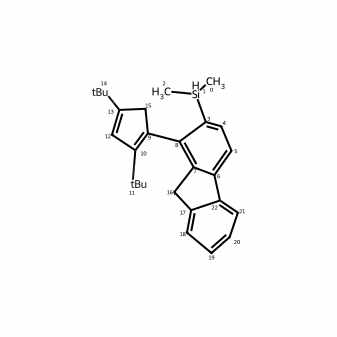 C[SiH](C)c1ccc2c(c1C1=C(C(C)(C)C)C=C(C(C)(C)C)C1)[CH]c1ccccc1-2